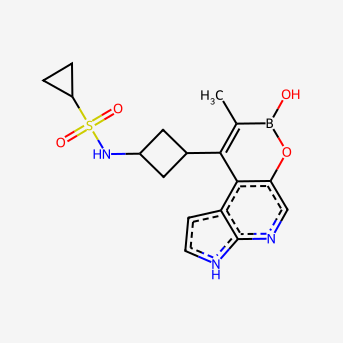 CC1=C(C2CC(NS(=O)(=O)C3CC3)C2)c2c(cnc3[nH]ccc23)OB1O